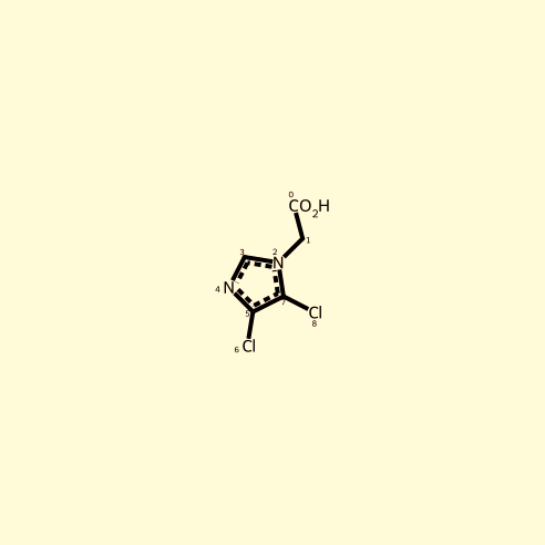 O=C(O)Cn1cnc(Cl)c1Cl